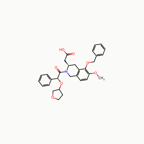 COc1ccc2c(c1OCc1ccccc1)C[C@H](CC(=O)O)N(C(=O)[C@@H](OC1CCOC1)c1ccccc1)C2